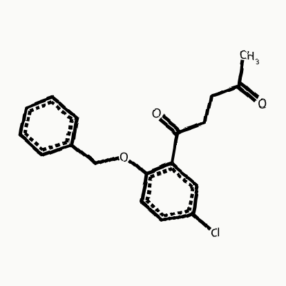 CC(=O)CCC(=O)c1cc(Cl)ccc1OCc1ccccc1